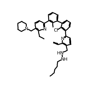 C=Cc1nc(-c2cccc(-c3cccc(-c4ccc(CN5CCCCC5)c(CC)n4)c3C)c2Cl)ccc1CNNCCCCC